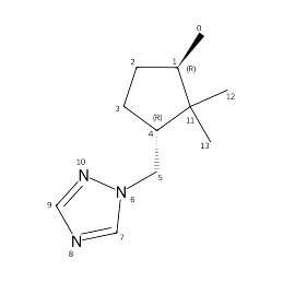 C[C@@H]1CC[C@@H](Cn2cncn2)C1(C)C